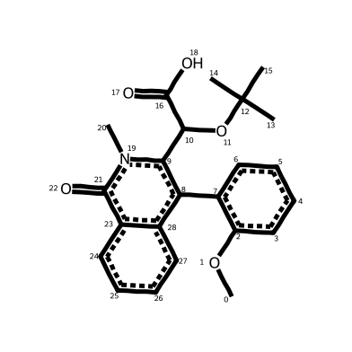 COc1ccccc1-c1c(C(OC(C)(C)C)C(=O)O)n(C)c(=O)c2ccccc12